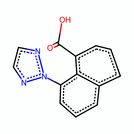 O=C(O)c1cccc2cccc(-n3nccn3)c12